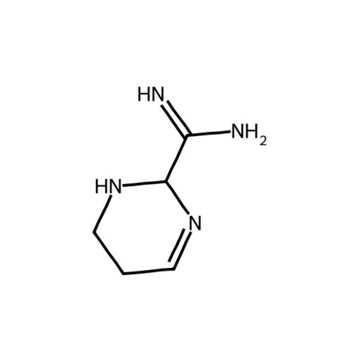 N=C(N)C1N=CCCN1